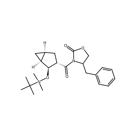 CC(C)(C)[Si](C)(C)O[C@H]1[C@H]2C[C@H]2C[C@@H]1C(=O)N1C(=O)OCC1Cc1ccccc1